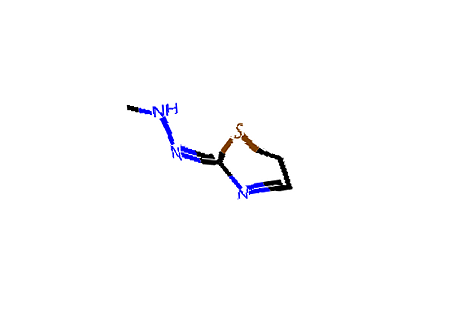 CNN=C1N=CCS1